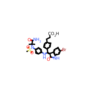 CC(C)(C(N)=O)N(c1ccc(N/C(=C2\C(=O)Nc3cc(Br)ccc32)c2ccc(CCC(=O)O)cc2)cc1)S(C)(=O)=O